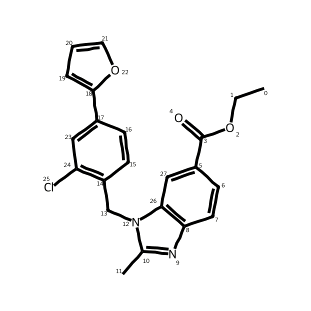 CCOC(=O)c1ccc2nc(C)n(Cc3ccc(-c4ccco4)cc3Cl)c2c1